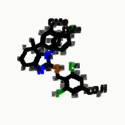 COc1ccc(C2(C)CCCc3nc(SCc4c(F)cc(C(=O)O)cc4F)n(-c4ccc(F)cc4)c32)cc1OC